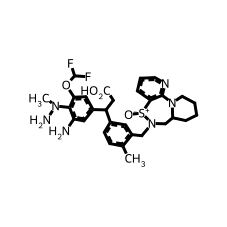 Cc1ccc(C(CC(=O)O)c2cc(N)c(N(C)N)c(OC(F)F)c2)cc1CN1CC2CCCCN2c2ncccc2[S+]1[O-]